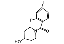 O=C(c1ccc(I)cc1F)N1CCC(O)CC1